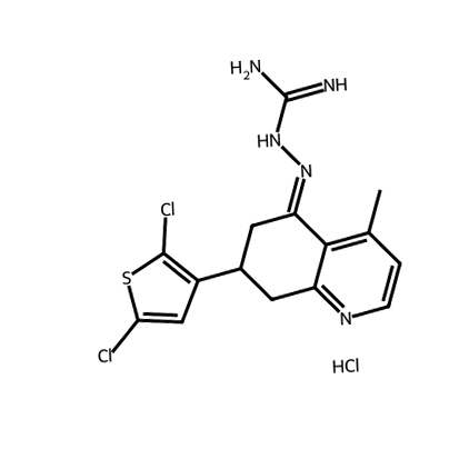 Cc1ccnc2c1C(=NNC(=N)N)CC(c1cc(Cl)sc1Cl)C2.Cl